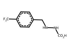 O=C(O)NNCc1ccc(C(F)(F)F)cc1